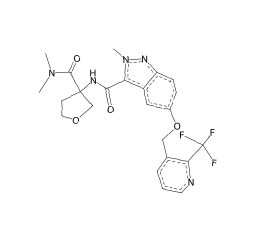 CN(C)C(=O)C1(NC(=O)c2c3cc(OCc4cccnc4C(F)(F)F)ccc3nn2C)CCOC1